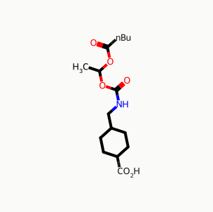 CCCCC(=O)OC(C)OC(=O)NCC1CCC(C(=O)O)CC1